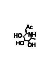 CC(=O)/C=C1\N[C@@H](C)[C@@H](O)[C@@H](O)[C@@H]1O